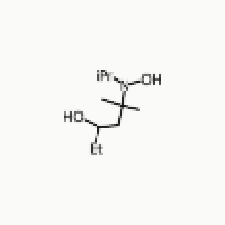 CCC(O)CC(C)(C)N(O)C(C)C